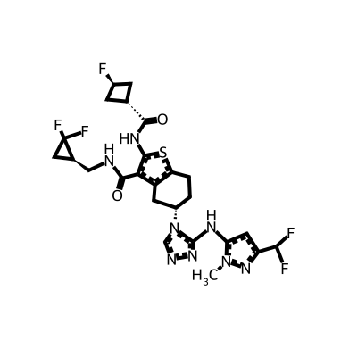 Cn1nc(C(F)F)cc1Nc1nncn1[C@H]1CCc2sc(NC(=O)[C@H]3C[C@H](F)C3)c(C(=O)NC[C@H]3CC3(F)F)c2C1